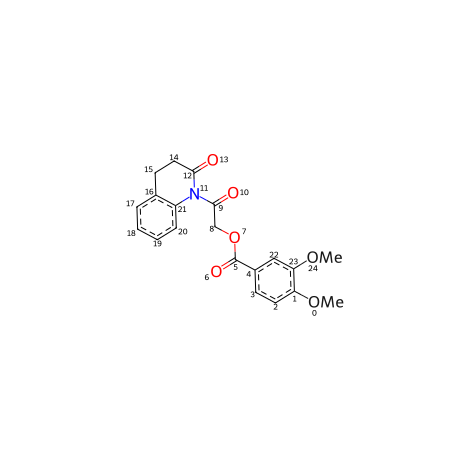 COc1ccc(C(=O)OCC(=O)N2C(=O)CCc3ccccc32)cc1OC